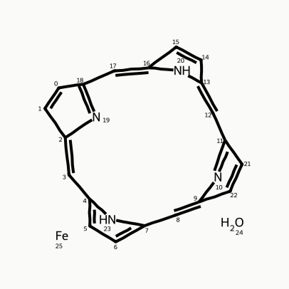 C1=Cc2cc3ccc(cc4nc(cc5ccc(cc1n2)[nH]5)C=C4)[nH]3.O.[Fe]